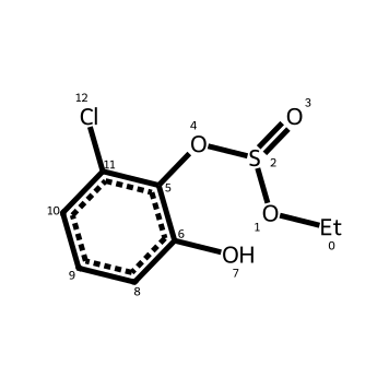 CCOS(=O)Oc1c(O)cccc1Cl